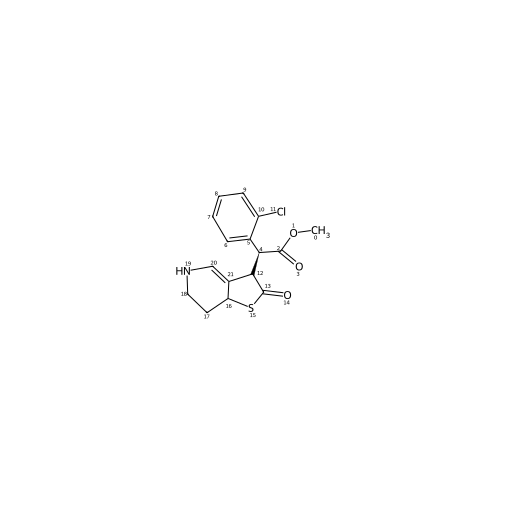 COC(=O)[C@H](c1ccccc1Cl)C1C(=O)SC2CCNC=C21